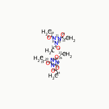 C=CC(=O)N1CN(C(=O)C=C)CN(C(=O)C=C)C1.C=CCOc1nc(OCC=C)nc(OC(=O)C=C)n1